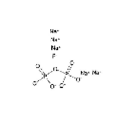 O=P([O-])([O-])OP(=O)([O-])[O-].[F-].[Na+].[Na+].[Na+].[Na+].[Na+]